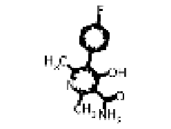 Cc1nc(C)c(-c2ccc(F)cc2)c(O)c1C(N)=O